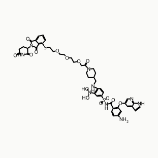 Nc1ccc(C(=O)NS(=O)(=O)c2ccc(NCC3CCN(C(=O)COCCOCCOCCSc4cccc5c4C(=O)N(C4CCC(=O)NC4=O)C5=O)CC3)c(N(O)O)c2)c(Oc2cnc3[nH]ccc3c2)c1